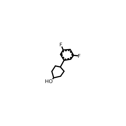 OC1CCC(c2cc(F)cc(F)c2)CC1